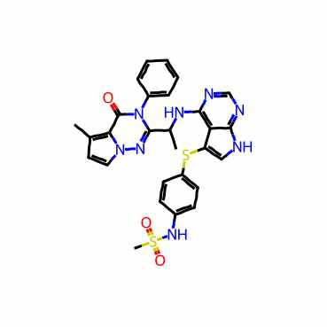 Cc1ccn2nc(C(C)Nc3ncnc4[nH]cc(Sc5ccc(NS(C)(=O)=O)cc5)c34)n(-c3ccccc3)c(=O)c12